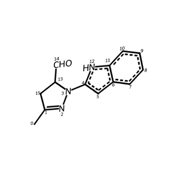 CC1=NN(c2cc3ccccc3[nH]2)C(C=O)C1